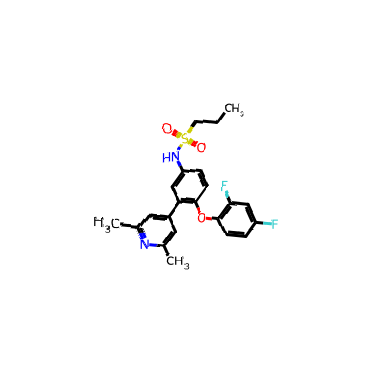 CCCS(=O)(=O)Nc1ccc(Oc2ccc(F)cc2F)c(-c2cc(C)nc(C)c2)c1